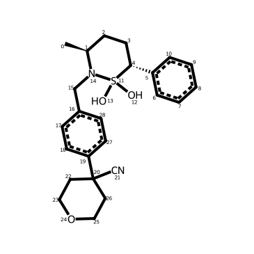 C[C@H]1CC[C@H](c2ccccc2)S(O)(O)N1Cc1ccc(C2(C#N)CCOCC2)cc1